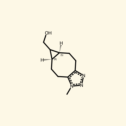 Cn1nnc2c1CC[C@H]1C(CO)[C@H]1CC2